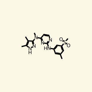 Cc1cc(Nc2nccc(N(C)c3n[nH]c(C)c3C)n2)cc(S(C)(=O)=O)c1